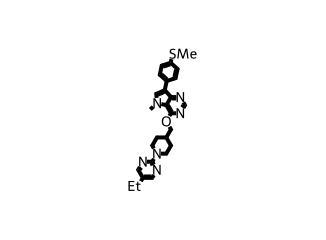 CCc1cnc(N2CCC(COc3ncnc4c(-c5ccc(SC)cc5)cn(C)c34)CC2)nc1